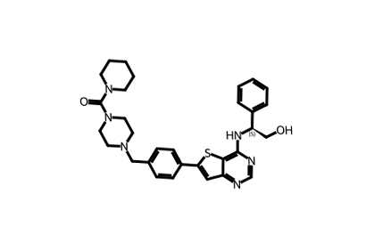 O=C(N1CCCCC1)N1CCN(Cc2ccc(-c3cc4ncnc(N[C@H](CO)c5ccccc5)c4s3)cc2)CC1